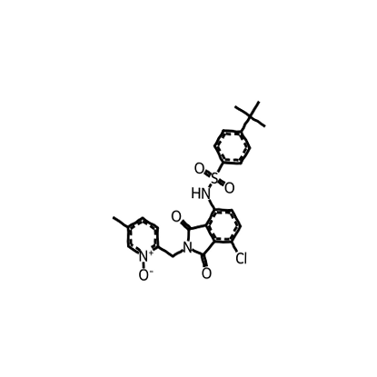 Cc1ccc(CN2C(=O)c3c(Cl)ccc(NS(=O)(=O)c4ccc(C(C)(C)C)cc4)c3C2=O)[n+]([O-])c1